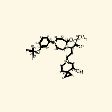 COC(=O)C(CCN1CCC2(CC2)C(O)C1)N1CCN(c2cccc(OC(F)(F)F)c2)CCC1=O